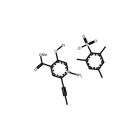 CC#Cc1cc(C(=O)OC)c(OCC)c[n+]1N.Cc1cc(C)c(S(=O)(=O)[O-])c(C)c1